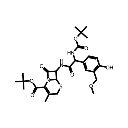 COCc1cc(C(NC(=O)OC(C)(C)C)C(=O)NC2C(=O)N3C(C(=O)OC(C)(C)C)=C(C)CSC23)ccc1O